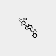 OC[C@H]1O[C@@H](n2cnc3c(On4nnc5ccccc54)ncnc32)C[C@H]1O